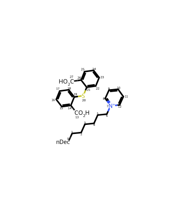 CCCCCCCCCCCCCCCC[n+]1ccccc1.O=C(O)c1ccccc1Sc1ccccc1C(=O)O